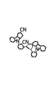 N#Cc1ccc2c(c1)c1ccccc1n2-c1cccc(C2=CC(c3ccccc3-n3c4ccccc4c4ccccc43)CC=C2)c1C#N